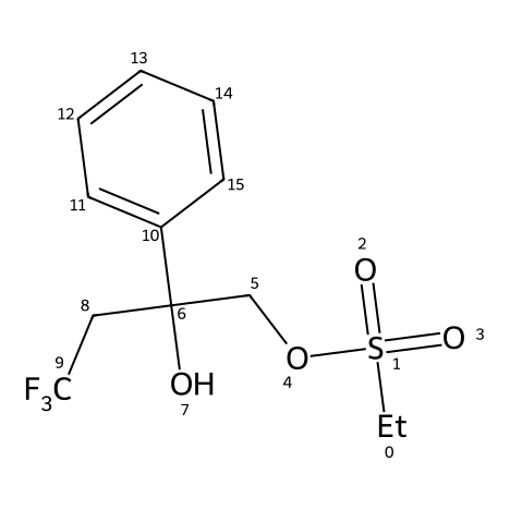 CCS(=O)(=O)OCC(O)(CC(F)(F)F)c1ccccc1